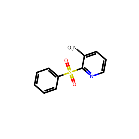 O=[N+]([O-])c1cccnc1S(=O)(=O)c1cc[c]cc1